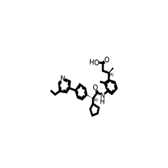 CCc1cncc(-c2ccc([C@H](C(=O)Nc3cccc([C@H](C)CC(=O)O)c3C)C3CCCC3)cc2)c1